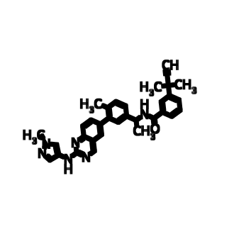 C#CC(C)(C)c1cccc(C(=O)NC(C)c2ccc(C)c(-c3ccc4nc(Nc5cnn(C)c5)ncc4c3)c2)c1